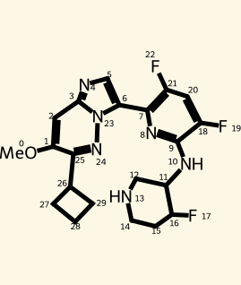 COc1cc2ncc(-c3nc(NC4CNCCC4F)c(F)cc3F)n2nc1C1CCC1